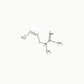 C/C=C\CN(C)C(C)=N